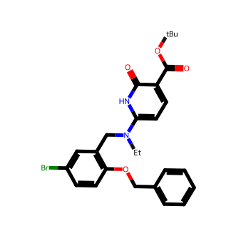 CCN(Cc1cc(Br)ccc1OCc1ccccc1)c1ccc(C(=O)OC(C)(C)C)c(=O)[nH]1